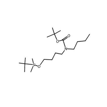 CCCCN(CCCCO[Si](C)(C)C(C)(C)C)C(=O)OC(C)(C)C